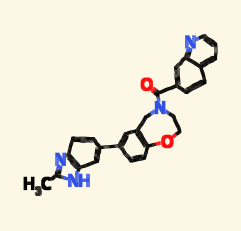 Cc1nc2ccc(-c3ccc4c(c3)CN(C(=O)c3ccc5cccnc5c3)CCO4)cc2[nH]1